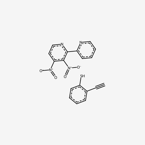 C#Cc1ccccc1S.O=[N+]([O-])c1ccnc(-c2ccccn2)c1[N+](=O)[O-]